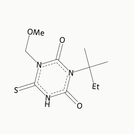 CCC(C)(C)n1c(=O)[nH]c(=S)n(COC)c1=O